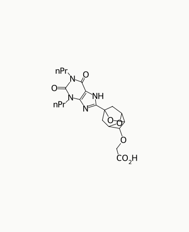 CCCn1c(=O)c2[nH]c(C34CC5OC(C3)C(O4)C5OCC(=O)O)nc2n(CCC)c1=O